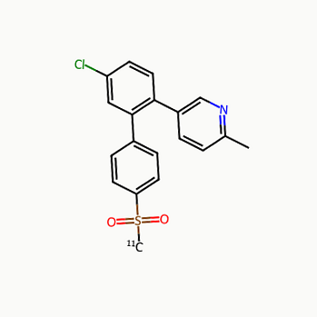 Cc1ccc(-c2ccc(Cl)cc2-c2ccc(S([11CH3])(=O)=O)cc2)cn1